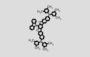 Cc1cc(C)cc(N(c2cc(C)cc(C)c2)c2ccc3cc4c(cc3c2)oc2c(-n3c5ccccc5c5ccccc53)c3oc5cc6cc(N(c7cc(C)cc(C)c7)c7cc(C)cc(C)c7)ccc6cc5c3cc24)c1